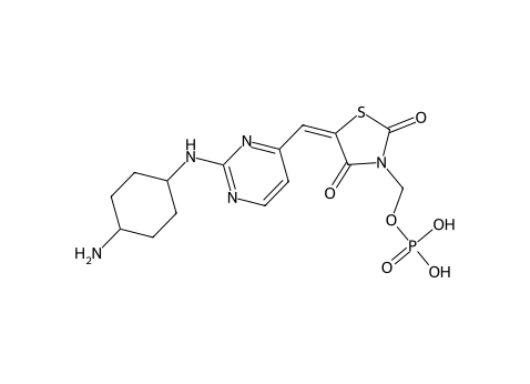 NC1CCC(Nc2nccc(/C=C3/SC(=O)N(COP(=O)(O)O)C3=O)n2)CC1